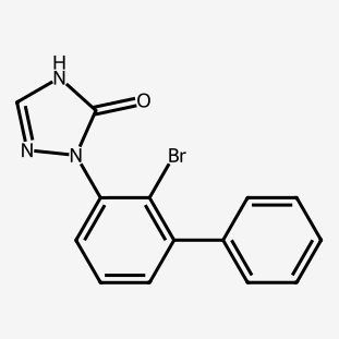 O=c1[nH]cnn1-c1cccc(-c2ccccc2)c1Br